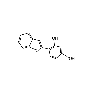 Oc1ccc(-c2cc3ccccc3o2)c(O)c1